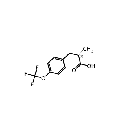 C[C@@H](Cc1ccc(OC(F)(F)F)cc1)C(=O)O